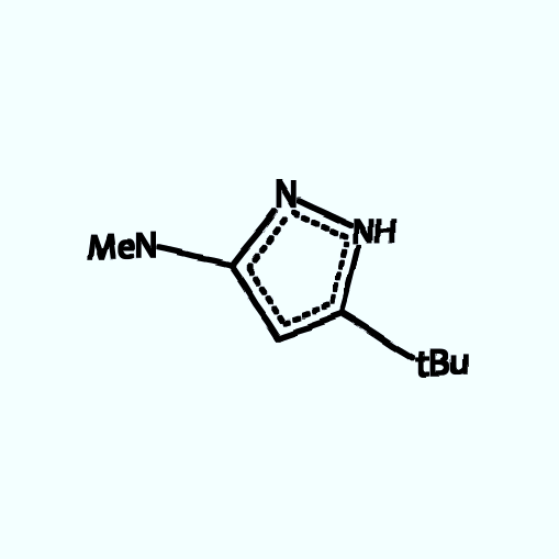 CNc1cc(C(C)(C)C)[nH]n1